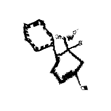 O=[N+]([O-])C1(Br)CC(Cl)=CC=C1c1ccccc1